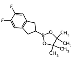 CC1(C)OB(C2Cc3cc(F)c(F)cc3C2)OC1(C)C